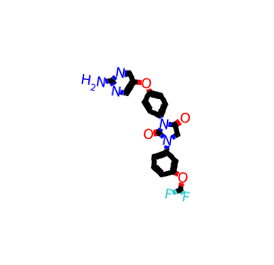 Nc1ncc(Oc2ccc(N3C(=O)CN(c4cccc(OC(F)F)c4)C3=O)cc2)cn1